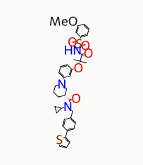 COc1cccc(S(=O)(=O)NC(=O)C(C)(C)Oc2cccc(N3CCC[C@@H](C(=O)N(Cc4ccc(-c5cccs5)cc4)C4CC4)C3)c2)c1